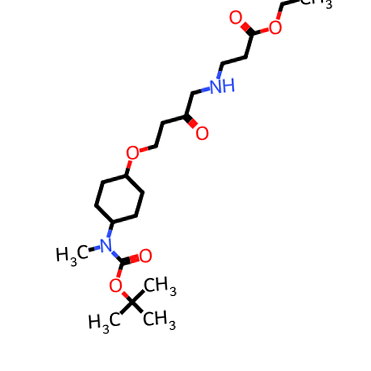 CCOC(=O)CCNCC(=O)CCOC1CCC(N(C)C(=O)OC(C)(C)C)CC1